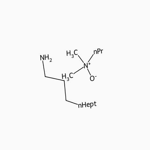 CCCCCCCCCCN.CCC[N+](C)(C)[O-]